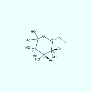 CC(=O)C1(O)O[C@H](CF)[C@@](O)(C(C)=O)[C@@](O)(C(C)=O)[C@]1(O)C(C)=O